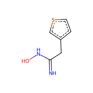 N=C(Cc1ccsc1)NO